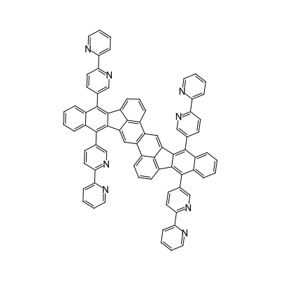 c1ccc(-c2ccc(-c3c4ccccc4c(-c4ccc(-c5ccccn5)nc4)c4c5cc6c(cc7c8c(-c9ccc(-c%10ccccn%10)nc9)c9ccccc9c(-c9ccc(-c%10ccccn%10)nc9)c8c8cccc6c87)c6cccc(c34)c65)cn2)nc1